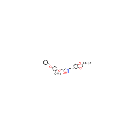 CCOC(=O)C1COc2cc(CCNC[C@H](O)COc3ccc(OCc4ccccc4)cc3OC)ccc2O1